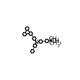 CC(C)(C)c1ccc(-c2ccc(N(c3ccc(-c4ccccc4)cc3)c3ccc(-c4ccc5c6ccccc6c6ccccc6c5c4)cc3)cc2)cc1